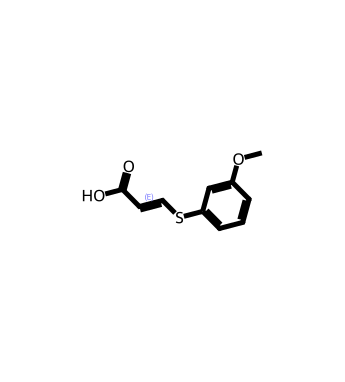 COc1cccc(S/C=C/C(=O)O)c1